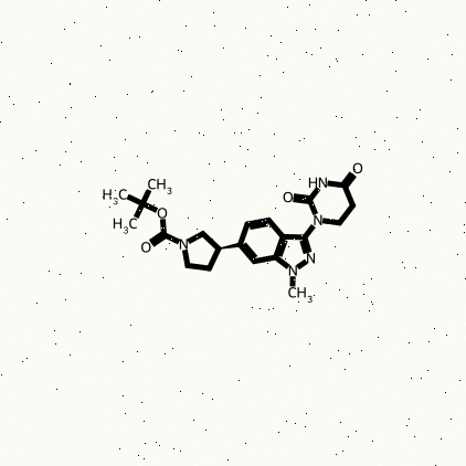 Cn1nc(N2CCC(=O)NC2=O)c2ccc([C@H]3CCN(C(=O)OC(C)(C)C)C3)cc21